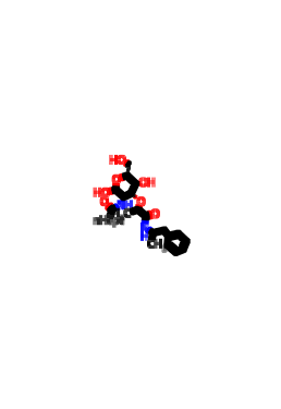 CCCCCCCC(=O)N[C@H]1C(O)O[C@H](CO)[C@@H](O)[C@@H]1OC(C)C(=O)NC(C)Cc1ccccc1